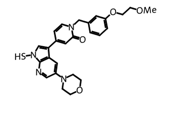 COCCOc1cccc(Cn2ccc(-c3cn(S)c4ncc(N5CCOCC5)cc34)cc2=O)c1